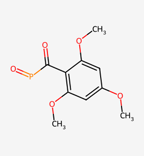 COc1cc(OC)c(C(=O)P=O)c(OC)c1